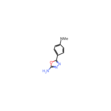 CNc1ccc(-c2nnc(N)o2)cc1